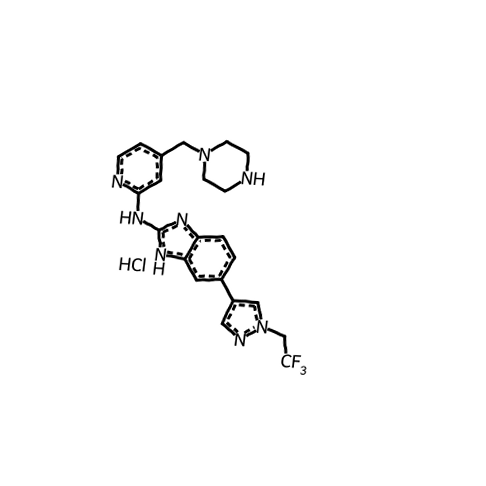 Cl.FC(F)(F)Cn1cc(-c2ccc3nc(Nc4cc(CN5CCNCC5)ccn4)[nH]c3c2)cn1